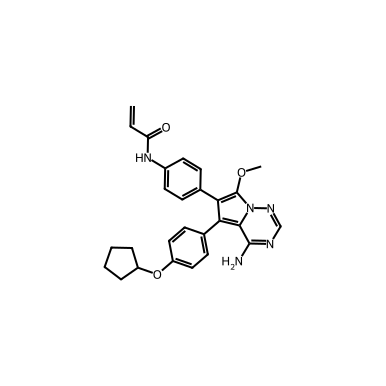 C=CC(=O)Nc1ccc(-c2c(-c3ccc(OC4CCCC4)cc3)c3c(N)ncnn3c2OC)cc1